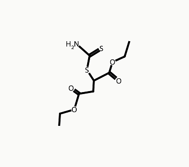 CCOC(=O)CC(SC(N)=S)C(=O)OCC